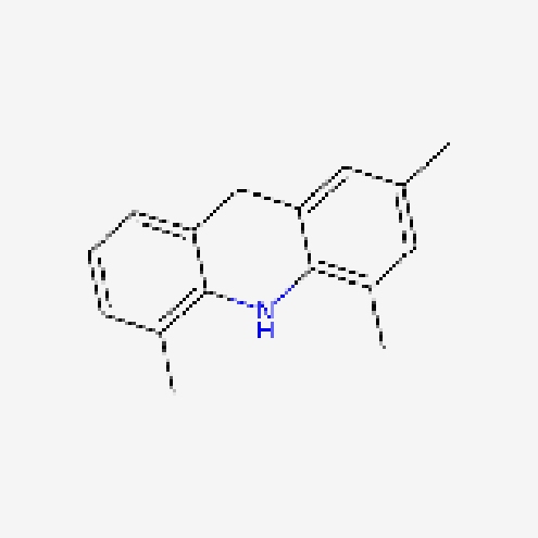 Cc1cc(C)c2c(c1)Cc1cccc(C)c1N2